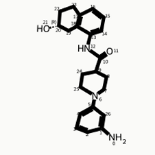 Nc1cccc(N2CCC(C(=O)Nc3cccc4c3C[C@H](O)CC4)CC2)c1